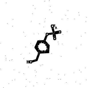 O=S(=O)(Oc1ccc(CO)cc1)C(F)(F)F